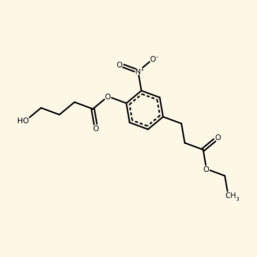 CCOC(=O)CCc1ccc(OC(=O)CCCO)c([N+](=O)[O-])c1